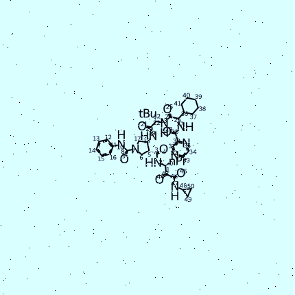 CCC[C@H](NC(=O)[C@@H]1CN(C(=O)Nc2ccccc2)C[C@@H]1NC(=O)[C@@H](NC(=O)[C@@H](NC(=O)c1cnccn1)C1CCCCC1)C(C)(C)C)C(=O)C(=O)NC1CC1